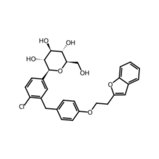 OC[C@H]1O[C@@H](c2ccc(Cl)c(Cc3ccc(OCCc4cc5ccccc5o4)cc3)c2)[C@H](O)[C@@H](O)[C@@H]1O